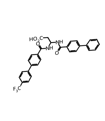 O=C(O)CC(NC(=O)c1ccc(-c2ccccc2)cc1)NC(=O)c1ccc(-c2ccc(C(F)(F)F)cc2)cc1